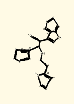 O=C(c1c[nH]c2ccccc12)C(NCCc1ccco1)c1ccccc1